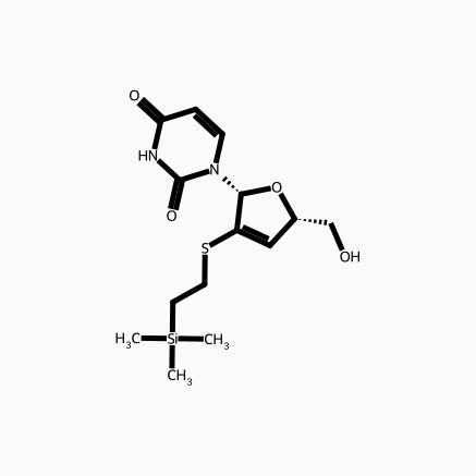 C[Si](C)(C)CCSC1=C[C@@H](CO)O[C@H]1n1ccc(=O)[nH]c1=O